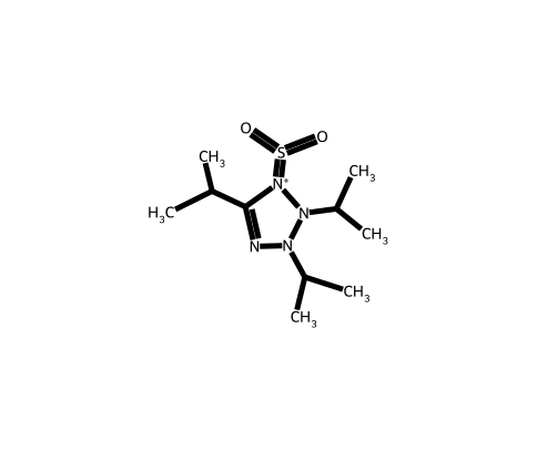 CC(C)c1nn(C(C)C)n(C(C)C)[n+]1=S(=O)=O